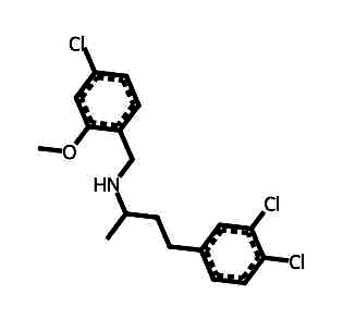 COc1cc(Cl)ccc1CNC(C)CCc1ccc(Cl)c(Cl)c1